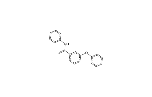 O=C(Nc1ccccc1)c1cccc(Oc2ccccc2)c1